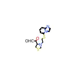 O=CC(=O)C1CSCN1CCSc1cccc2nccn12